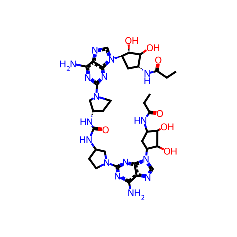 CCC(=O)NC1CC(n2cnc3c(N)nc(N4CCC(NC(=O)N[C@H]5CCN(c6nc(N)c7ncn([C@@H]8C[C@@H](NC(=O)CC)C(O)[C@@H]8O)c7n6)C5)C4)nc32)C(O)C1O